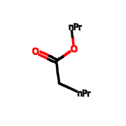 [CH2]CCCC(=O)OCCC